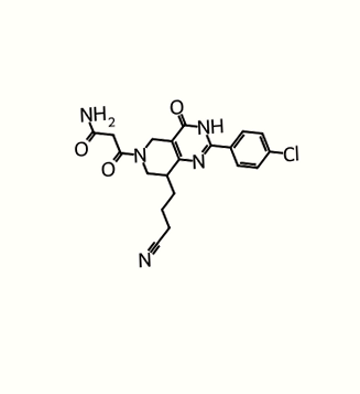 N#CCCCC1CN(C(=O)CC(N)=O)Cc2c1nc(-c1ccc(Cl)cc1)[nH]c2=O